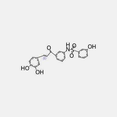 O=C(/C=C/c1ccc(O)c(O)c1)c1cccc(NS(=O)(=O)c2cccc(O)c2)c1